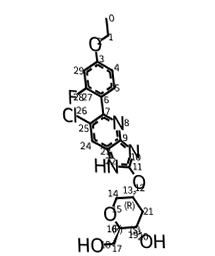 CCOc1ccc(-c2nc3nc(O[C@H]4CO[C@H](CO)[C@@H](O)C4)[nH]c3cc2Cl)c(F)c1